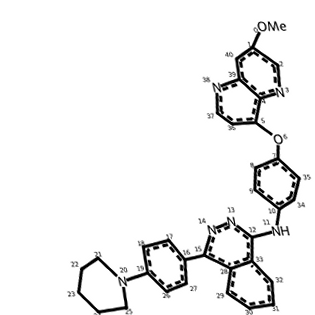 COc1cnc2c(Oc3ccc(Nc4nnc(-c5ccc(N6CCCCC6)cc5)c5ccccc45)cc3)ccnc2c1